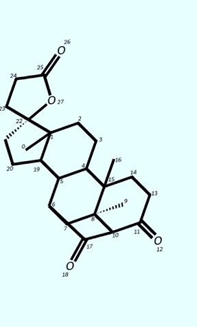 CC12CCC3C(C4C[C@]5(C)C(C(=O)CCC35C)C4=O)C1CC[C@@]21CCC(=O)O1